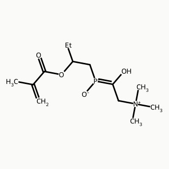 C=C(C)C(=O)OC(CC)C/[P+]([O-])=C(\O)C[N+](C)(C)C